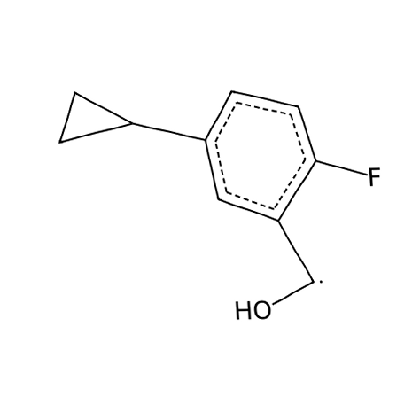 O[CH]c1cc(C2CC2)ccc1F